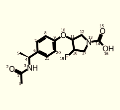 CC(=O)N[C@@H](C)c1ccc(OC2CN(C(=O)O)CC2F)cc1